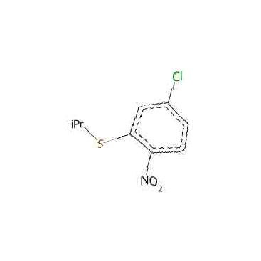 CC(C)Sc1cc(Cl)ccc1[N+](=O)[O-]